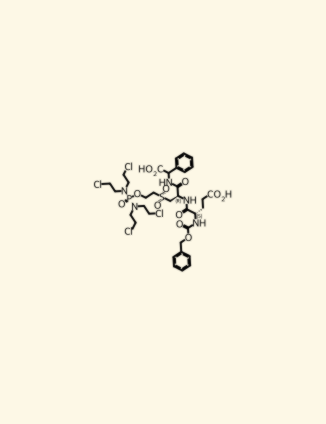 O=C(O)CC[C@H](NC(=O)OCc1ccccc1)C(=O)N[C@@H](CS(=O)(=O)CCOP(=O)(N(CCCl)CCCl)N(CCCl)CCCl)C(=O)NC(C(=O)O)c1ccccc1